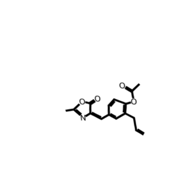 C=CCc1cc(C=C2N=C(C)OC2=O)ccc1OC(C)=O